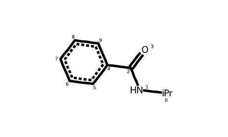 [CH2]C(C)NC(=O)c1ccccc1